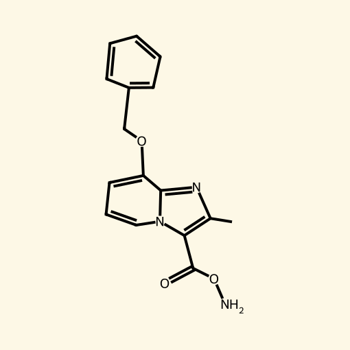 Cc1nc2c(OCc3ccccc3)cccn2c1C(=O)ON